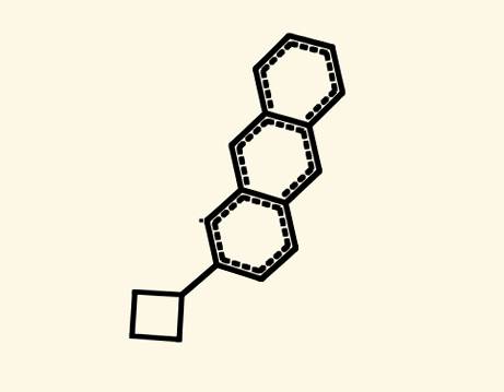 [c]1c(C2CCC2)ccc2cc3ccccc3cc12